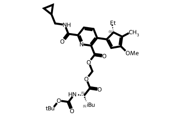 CC[C@H]1C(c2ccc(C(=O)NCC3CC3)nc2C(=O)OCOC(=O)[C@@H](NC(=O)OC(C)(C)C)[C@@H](C)CC)=CC(OC)=C1C